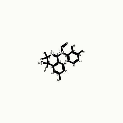 C=CN(C1=NC(C)(C)C(F)(F)c2cc(C)ccc21)c1cccc(C)c1C